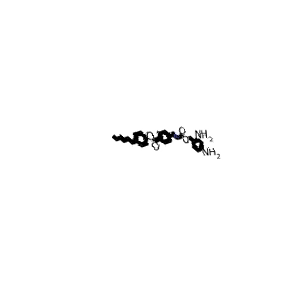 CCCCCCC1CCC(OC(=O)c2ccc(/C=C/C(=O)OCc3ccc(N)cc3N)cc2)CC1